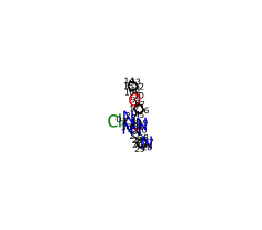 Clc1nc(-c2cccc(OCc3ccccc3)c2)c2ncn(Cc3cccnc3)c2n1